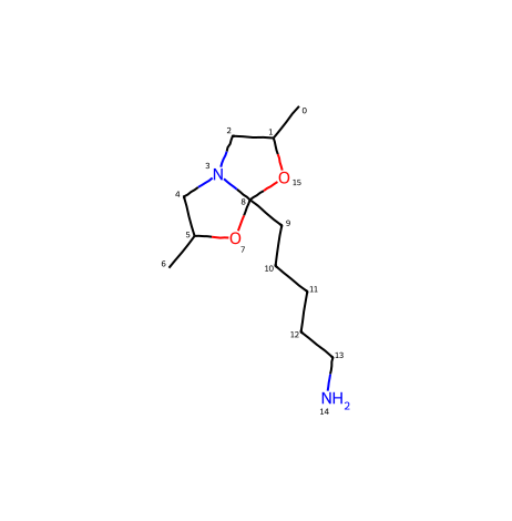 CC1CN2CC(C)OC2(CCCCCN)O1